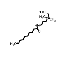 C=CCCCCCCCC(=O)NCCC[N+](C)(C)CC(=O)[O-]